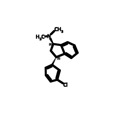 CN(C)[C@@H]1C[C@@H](c2cccc(Cl)c2)c2ccccc21